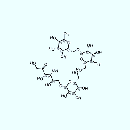 O=C(CO)[C@@H](O)[C@H](O)[C@H](O)CO[C@H]1O[C@H](CO)[C@@H](O)[C@H](O)[C@H]1O.OC[C@H]1O[C@H](OC[C@H]2O[C@@H](O)[C@H](O)[C@@H](O)[C@@H]2O)[C@H](O)[C@@H](O)[C@H]1O